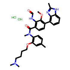 COc1c(-c2cccc3[nH]c(C)nc23)ccc(C(=O)N(C)c2ccc(C)cc2OCCCCN(C)C)c1NC=O.Cl.Cl